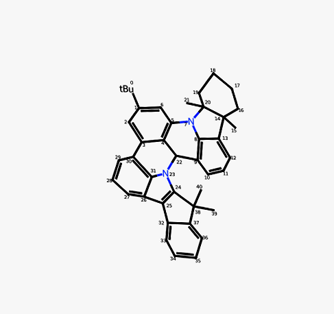 CC(C)(C)c1cc2c3c(c1)N1c4c(cccc4C4(C)CCCCC14C)C3n1c3c(c4cccc-2c41)-c1ccccc1C3(C)C